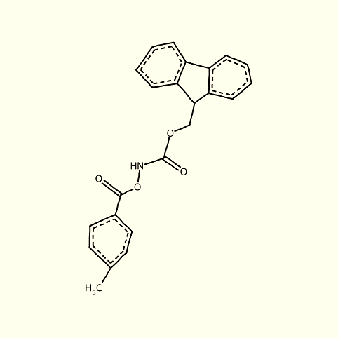 Cc1ccc(C(=O)ONC(=O)OCC2c3ccccc3-c3ccccc32)cc1